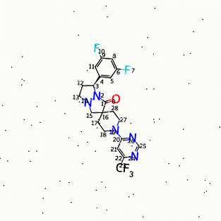 O=C1N2[C@H](c3cc(F)cc(F)c3)CCN2CC12CCN(c1cc(C(F)(F)F)ncn1)CC2